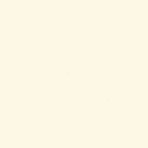 Cc1ccc(Nc2ccccc2F)c(/C=C/C(=O)O)c1